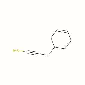 SC#CCC1CC=CCC1